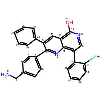 NCc1ccc(-c2nc3c(-c4ccccc4F)cnc(O)c3cc2-c2ccccc2)cc1